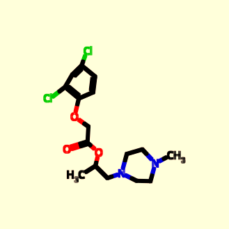 CC(CN1CCN(C)CC1)OC(=O)COc1ccc(Cl)cc1Cl